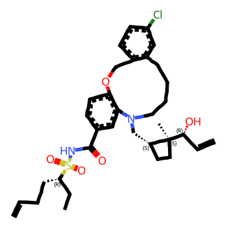 C=CCC[C@@H](CC)S(=O)(=O)NC(=O)c1ccc2c(c1)N(C[C@H]1CC[C@]1(C)[C@H](O)C=C)CCCCc1cc(Cl)ccc1CO2